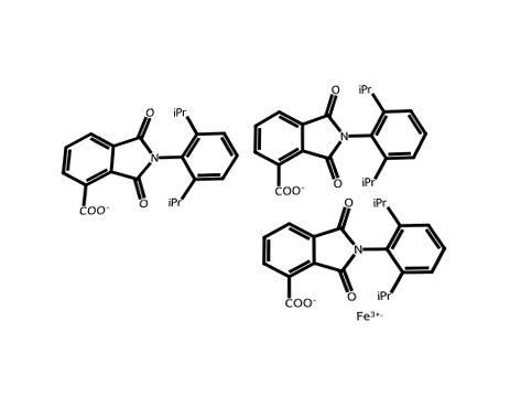 CC(C)c1cccc(C(C)C)c1N1C(=O)c2cccc(C(=O)[O-])c2C1=O.CC(C)c1cccc(C(C)C)c1N1C(=O)c2cccc(C(=O)[O-])c2C1=O.CC(C)c1cccc(C(C)C)c1N1C(=O)c2cccc(C(=O)[O-])c2C1=O.[Fe+3]